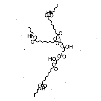 CCCCNOC(=O)CCCCCCCC(=O)OCC(O)COC(=O)CCC(O)OCC(COC(=O)CCCCCCCC(=O)ONCCCC)OC(=O)CCCCCCCC(=O)ONCCCC